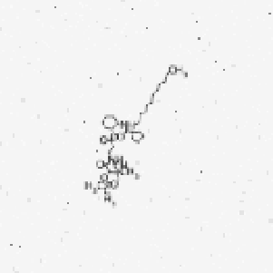 CCCCCCCCCCCCC1(C(=O)N[C@H]2CCCC[C@@H]2OC(=O)CCNC(=O)C2OC(C)(C)OCC2(C)C)CCCC1